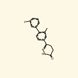 Cc1cc(C2=NNC(=O)CC2)ccc1-c1cccc(F)c1